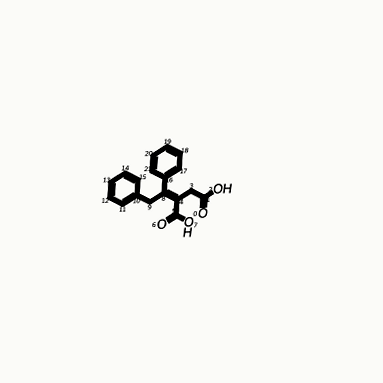 O=C(O)CC(C(=O)O)=C(Cc1ccccc1)c1ccccc1